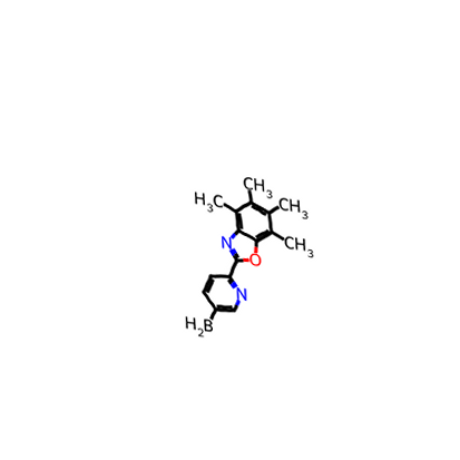 Bc1ccc(-c2nc3c(C)c(C)c(C)c(C)c3o2)nc1